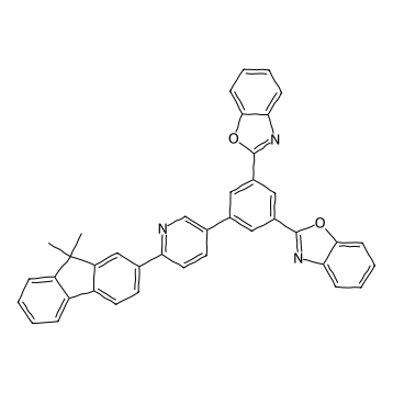 CC1(C)c2ccccc2-c2ccc(-c3ccc(-c4cc(-c5nc6ccccc6o5)cc(-c5nc6ccccc6o5)c4)cn3)cc21